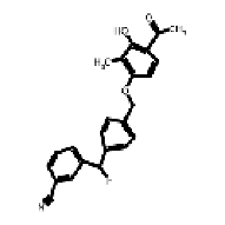 CC(=O)c1ccc(OCc2ccc(C(F)c3cccc(C#N)c3)cc2)c(C)c1O